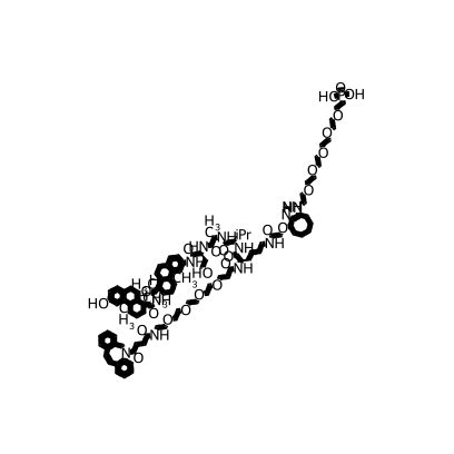 CC(C)[C@H](NC(=O)[C@@H](CCCCNC(=O)COC1CCCCC/C(NCCOCCOCCOCCOCCOCCP(=O)(O)O)=C\1N=N)NC(=O)CCOCCOCCOCCOCCNC(=O)CCC(=O)N1Cc2ccccc2/C=C\c2ccccc21)C(=O)N[C@@H](C)C(=O)N[C@@H](CCO)C(=O)Nc1ccc2c(c1)[C@@]1(C)CCC[C@](C)(C(=O)NC(=O)[C@@]3(C)CCC[C@]4(C)c5cc(O)ccc5CC[C@@H]34)[C@@H]1CC2